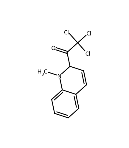 CN1c2ccccc2C=CC1C(=O)C(Cl)(Cl)Cl